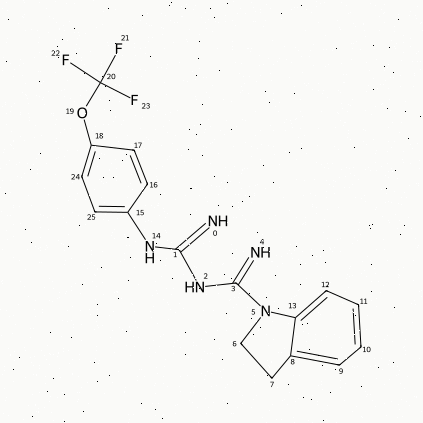 N=C(NC(=N)N1CCc2ccccc21)Nc1ccc(OC(F)(F)F)cc1